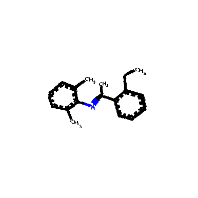 CCc1ccccc1/C(C)=N/c1c(C)cccc1C